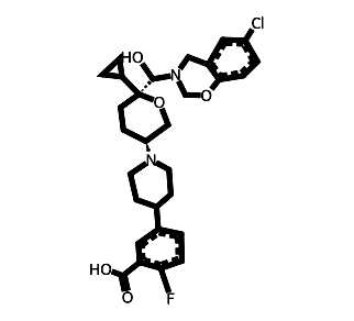 O=C(O)c1cc(C2CCN([C@@H]3CC[C@](C4CC4)(C(O)N4COc5ccc(Cl)cc5C4)OC3)CC2)ccc1F